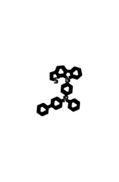 c1ccc(-c2ccc(N(c3ccccc3)c3ccc(-n4c5ccccc5c5ccc6ccsc6c54)cc3)cc2)cc1